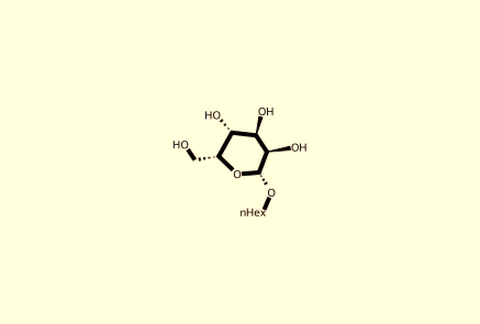 CCCCCCO[C@@H]1O[C@H](CO)[C@H](O)[C@@H](O)[C@H]1O